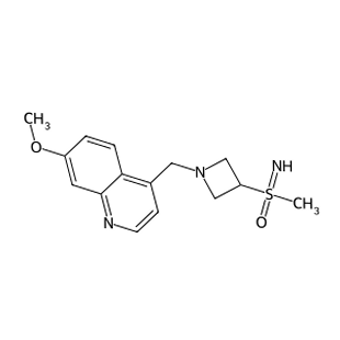 COc1ccc2c(CN3CC(S(C)(=N)=O)C3)ccnc2c1